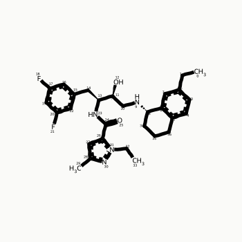 CCc1ccc2c(c1)[C@@H](NC[C@H](O)[C@H](Cc1cc(F)cc(F)c1)NC(=O)c1cc(C)nn1CC)CCC2